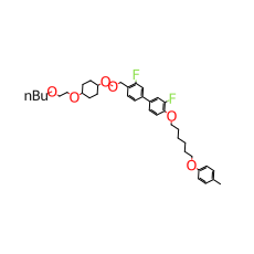 [CH2+][CH-]CCOCCOC1CCC(OOCc2ccc(-c3ccc(OCCCCCCOc4ccc(C)cc4)c(F)c3)cc2F)CC1